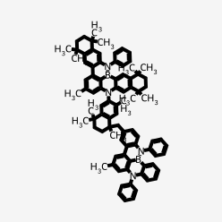 Cc1cc2c3c(c1)N(c1ccccc1)c1ccccc1B3N(c1ccccc1)c1ccc(CC3(C)CCC(C)(C)c4cc(N5c6cc7c(cc6B6c8c(cc(C)cc85)-c5cc8c(cc5N6c5ccccc5)C(C)(C)CCC8(C)C)C(C)(C)CCC7(C)C)c(C)cc43)cc1-2